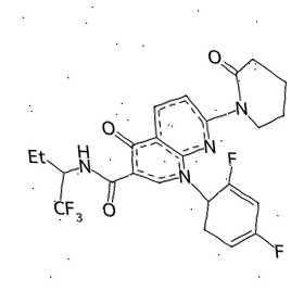 CCC(NC(=O)c1cn(C2CC=C(F)C=C2F)c2nc(N3CCCCC3=O)ccc2c1=O)C(F)(F)F